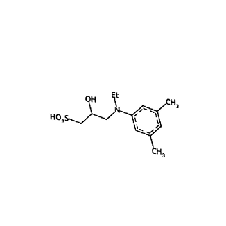 CCN(CC(O)CS(=O)(=O)O)c1cc(C)cc(C)c1